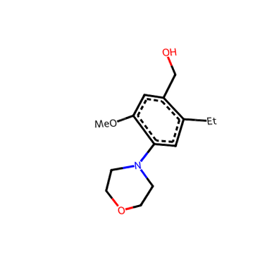 CCc1cc(N2CCOCC2)c(OC)cc1CO